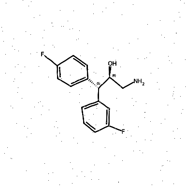 NC[C@H](O)[C@@H](c1ccc(F)cc1)c1cccc(F)c1